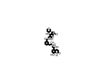 CCc1nc2c(cnn2CC)c(NC2CCOCC2)c1CNC(=O)c1cccc(CC(C)NC[C@@H](O)c2ccc(O)c3[nH]c(=O)ccc23)c1